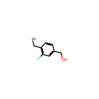 CC(C)Cc1ccc(CO)cc1F